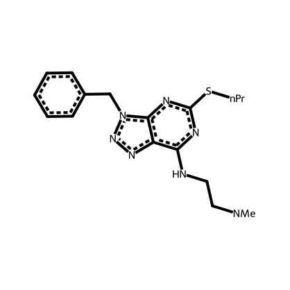 CCCSc1nc(NCCNC)c2nnn(Cc3ccccc3)c2n1